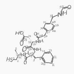 C[C@H](CS)NC(=O)[C@H](Cc1ccccc1)NC(=O)[C@H](CC(=O)O)NC(=O)Cc1ccc(CNC=O)cc1